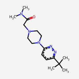 CN(C)C(=O)CN1CCN(c2ccc(C(C)(C)C)nn2)CC1